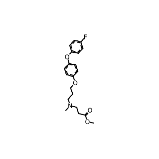 COC(=O)CCN(C)CCCOc1ccc(Oc2ccc(F)cc2)cc1